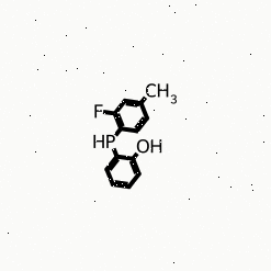 Cc1ccc(Pc2ccccc2O)c(F)c1